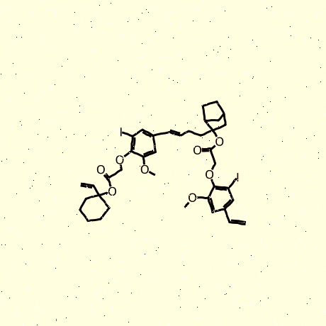 C=Cc1cc(I)c(OCC(=O)OC2(CC/C=C/c3cc(I)c(OCC(=O)OC4(C=C)CCCCC4)c(OC)c3)CC3CCC2C3)c(OC)c1